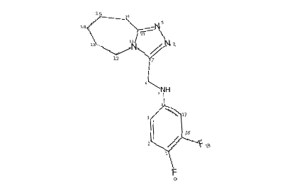 Fc1ccc(NCc2nnc3n2CCCCC3)cc1F